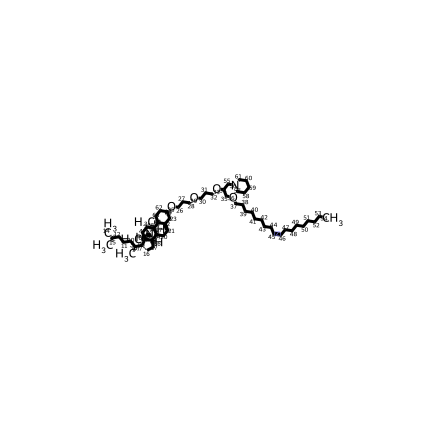 C#[N+][C@]12CC[C@]3(C)[C@@H]([C@H](C)CCCC(C)C)CC[C@H]3[C@@H]1CC=C1C[C@@H](OCCCOCCCOC(COCCCCCCCC/C=C\CCCCCCCC)CN3CCCCC3)CC[C@@]12C